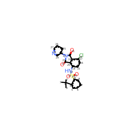 CC(C)(C)c1ccccc1S(=O)(=O)Nc1ccc(Cl)c2c1C(=O)N(c1cccnc1)C2=O